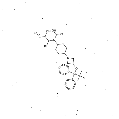 CC(C)(C)[Si](OC1CN(C2CCC(N(C(=O)O)C(Br)C(O)CBr)CC2)C1)(c1ccccc1)c1ccccc1